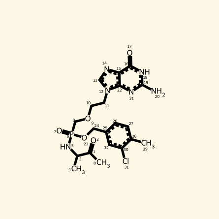 CC(=O)C(C)NP(=O)(COCCn1cnc2c(=O)[nH]c(N)nc21)OCc1ccc(C)c(Cl)c1